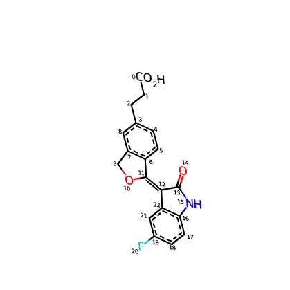 O=C(O)CCc1ccc2c(c1)CO/C2=C1/C(=O)Nc2ccc(F)cc21